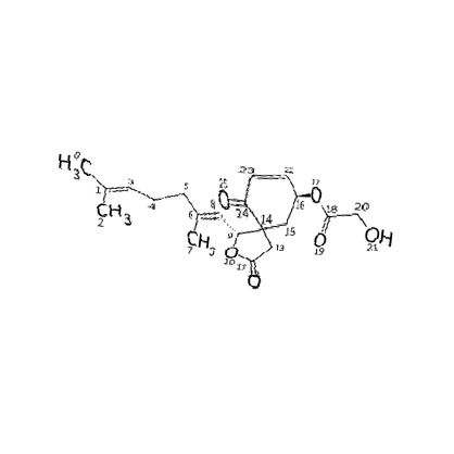 CC(C)=CCC/C(C)=C/[C@H]1OC(=O)CC12C[C@H](OC(=O)CO)C=CC2=O